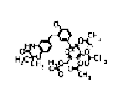 CC(=O)OC[C@H]1O[C@@H](c2ccc(Cl)c(Cc3ccc4c(c3)NC(=O)C(C)(C)O4)c2)[C@H](OC(C)=O)[C@H](OC(C)=O)[C@@H]1OC(C)=O